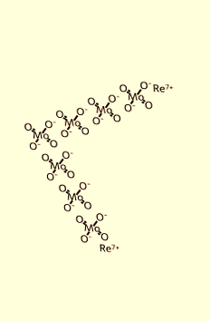 [O]=[Mo](=[O])([O-])[O-].[O]=[Mo](=[O])([O-])[O-].[O]=[Mo](=[O])([O-])[O-].[O]=[Mo](=[O])([O-])[O-].[O]=[Mo](=[O])([O-])[O-].[O]=[Mo](=[O])([O-])[O-].[O]=[Mo](=[O])([O-])[O-].[Re+7].[Re+7]